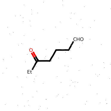 CCC(=O)[CH]CCC=O